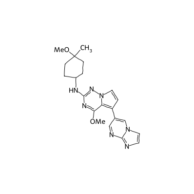 COc1nc(NC2CCC(C)(OC)CC2)nn2ccc(-c3cnc4nccn4c3)c12